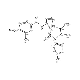 COc1ccc(C(=O)Nc2cnn3c2C(=O)N(c2ccc(C(F)(F)F)cc2)C(C)C3C)cc1C#N